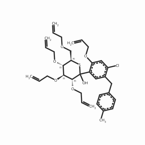 C=CCOC[C@H]1SC(O)(c2cc(Cc3ccc(C)cc3)c(Cl)cc2OCC=C)[C@H](OCC=C)[C@@H](OCC=C)[C@@H]1OCC=C